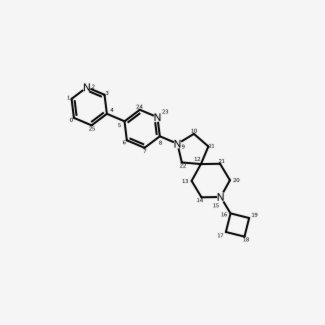 c1cncc(-c2ccc(N3CCC4(CCN(C5CCC5)CC4)C3)nc2)c1